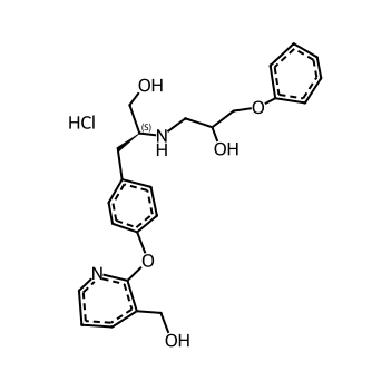 Cl.OCc1cccnc1Oc1ccc(C[C@@H](CO)NCC(O)COc2ccccc2)cc1